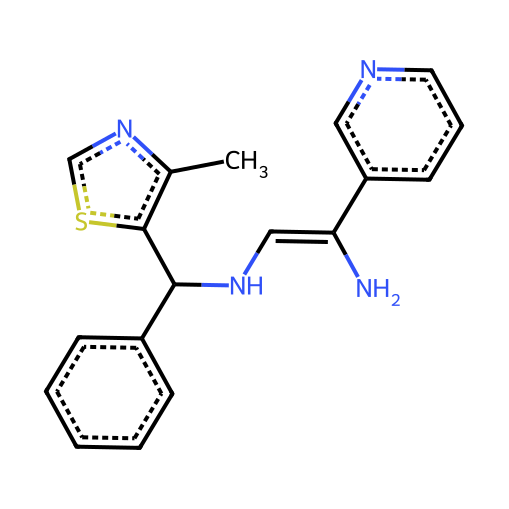 Cc1ncsc1C(N/C=C(\N)c1cccnc1)c1ccccc1